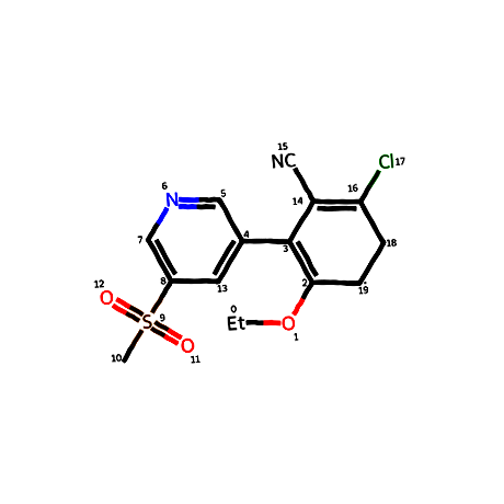 CCOC1=C(c2cncc(S(C)(=O)=O)c2)C(C#N)=C(Cl)C[CH]1